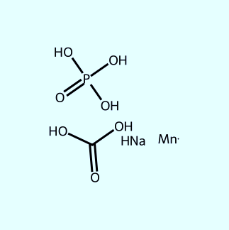 O=C(O)O.O=P(O)(O)O.[Mn].[NaH]